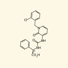 O=C(Nc1cccn(Cc2ccccc2Cl)c1=O)N[C@@H](C(=O)O)c1ccccc1